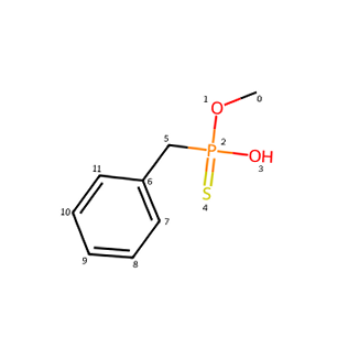 COP(O)(=S)Cc1ccccc1